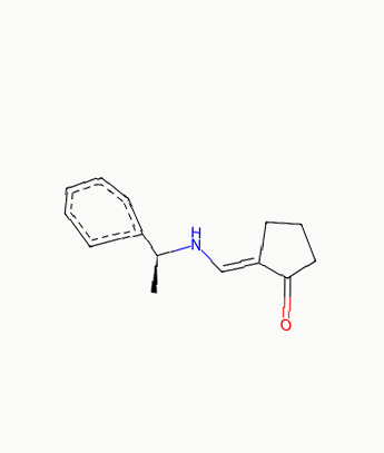 C[C@H](NC=C1CCCC1=O)c1ccccc1